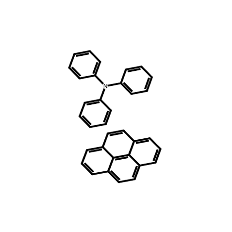 c1cc2ccc3cccc4ccc(c1)c2c34.c1ccc(N(c2ccccc2)c2ccccc2)cc1